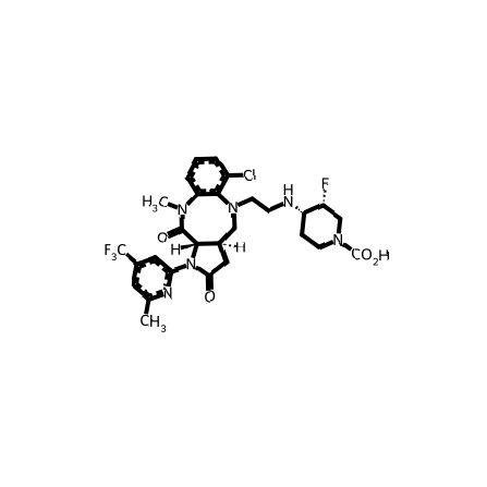 Cc1cc(C(F)(F)F)cc(N2C(=O)C[C@@H]3CN(CCN[C@H]4CCN(C(=O)O)C[C@H]4F)c4c(Cl)cccc4N(C)C(=O)[C@H]32)n1